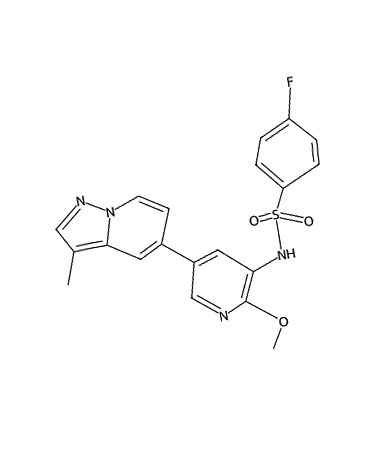 COc1ncc(-c2ccn3ncc(C)c3c2)cc1NS(=O)(=O)c1ccc(F)cc1